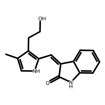 Cc1c[nH]c(C=C2C(=O)Nc3ccccc32)c1CCO